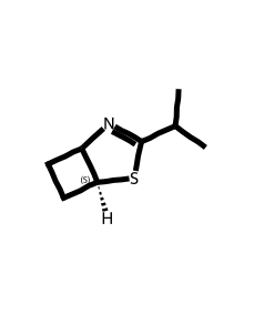 CC(C)C1=NC2CC[C@@H]2S1